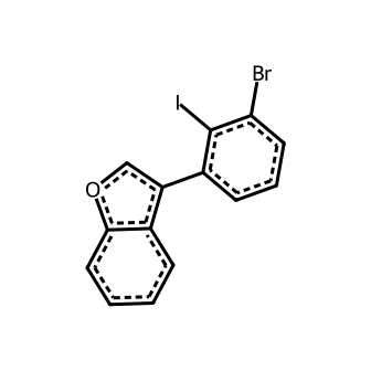 Brc1cccc(-c2coc3ccccc23)c1I